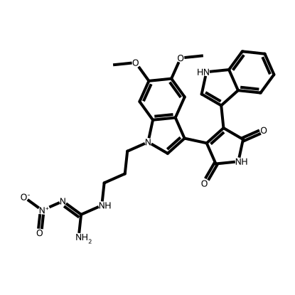 COc1cc2c(C3=C(c4c[nH]c5ccccc45)C(=O)NC3=O)cn(CCCNC(N)=N[N+](=O)[O-])c2cc1OC